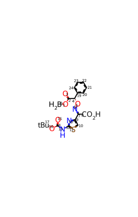 BOC(=O)[C@@H](O/N=C(\C(=O)O)c1csc(NC(=O)OC(C)(C)C)n1)c1ccccc1